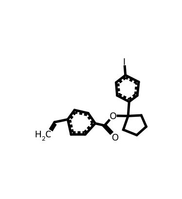 C=Cc1ccc(C(=O)OC2(c3ccc(I)cc3)CCCC2)cc1